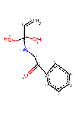 C=CC(O)(O)NCC(=O)c1ccccc1